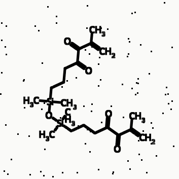 C=C(C)C(=O)C(=O)CCC[Si](C)(C)O[Si](C)(C)CCCC(=O)C(=O)C(=C)C